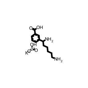 NCCCCCC(N)c1cccc(C(=O)O)c1.O=[S-](=O)O.[K+]